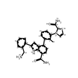 Cc1c(-c2ccc(C(N)=O)c3[nH]c(-c4ccccc4CN)cc23)cccc1N1C=CSC1C(N)=O